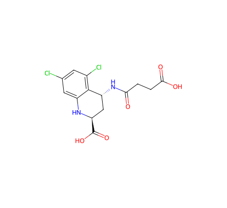 O=C(O)CCC(=O)N[C@@H]1C[C@@H](C(=O)O)Nc2cc(Cl)cc(Cl)c21